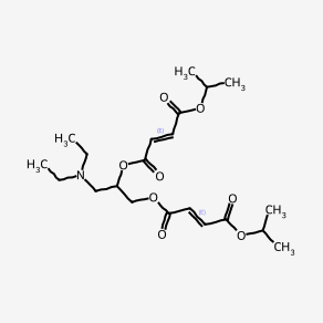 CCN(CC)CC(COC(=O)/C=C/C(=O)OC(C)C)OC(=O)/C=C/C(=O)OC(C)C